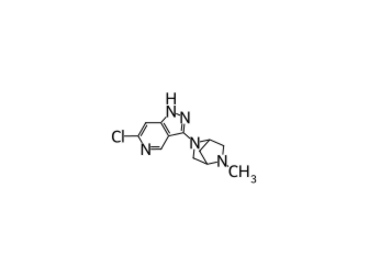 CN1CC2CC1CN2c1n[nH]c2cc(Cl)ncc12